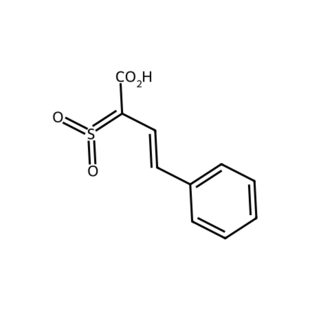 O=C(O)C(C=Cc1ccccc1)=S(=O)=O